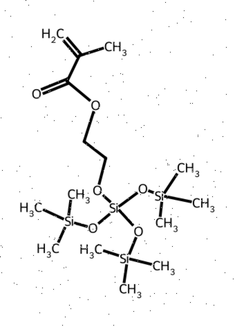 C=C(C)C(=O)OCCO[Si](O[Si](C)(C)C)(O[Si](C)(C)C)O[Si](C)(C)C